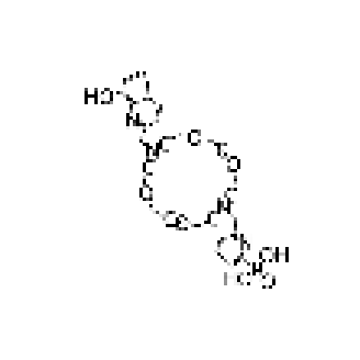 O=P(O)(O)c1cccc(CN2CCOCCOCCN(Cc3ccc4cccc(O)c4n3)CCOCCOCC2)n1